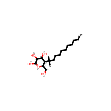 CC(C)CCCCCCCCCC(C)(C)C1C(CO)OC(O)C(O)C1O